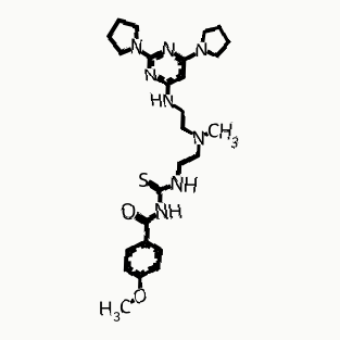 COc1ccc(C(=O)NC(=S)NCCN(C)CCNc2cc(N3CCCC3)nc(N3CCCC3)n2)cc1